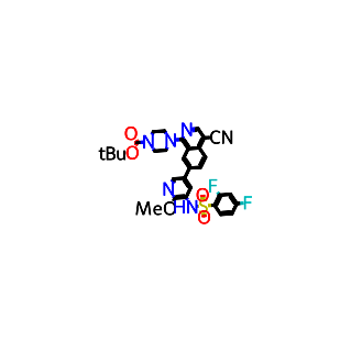 COc1ncc(-c2ccc3c(C#N)cnc(N4CCN(C(=O)OC(C)(C)C)CC4)c3c2)cc1NS(=O)(=O)c1ccc(F)cc1F